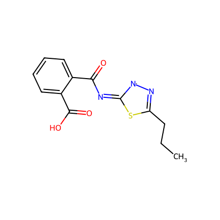 CCCC1=N[N]C(=NC(=O)c2ccccc2C(=O)O)S1